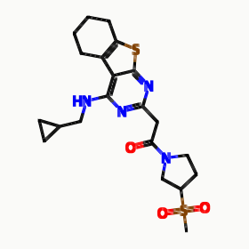 CS(=O)(=O)C1CCN(C(=O)Cc2nc(NCC3CC3)c3c4c(sc3n2)CCCC4)C1